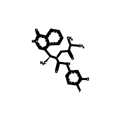 C[C@H](c1c[nH]c(=O)c2ccccc12)N(CC(=O)N(C)C)C(=O)Nc1ccc(F)c(Cl)c1